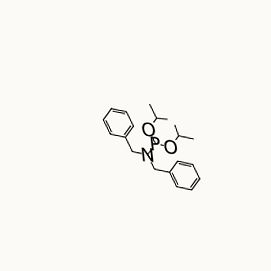 CC(C)OP(OC(C)C)N(Cc1ccccc1)Cc1ccccc1